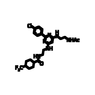 CC(=O)NCCNc1cc(NCCNC(=O)C2CCC(C(F)(F)F)CC2)nc(-c2ccc(Cl)cc2)n1